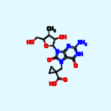 CC1C(CO)OC(n2c(=O)n(CC3(C(=O)O)CC3)c3c(=O)[nH]c(N)nc32)C1O